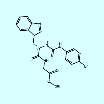 CC(C)(C)OC(=O)CNC(=O)[C@H](CC1C=Nc2ccccc21)NC(=O)Nc1ccc(Br)cc1